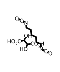 O=C(O)C(O)C(O)C(=O)O.O=C=NCCCCCCN=C=O